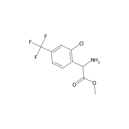 COC(=O)C(N)c1ccc(C(F)(F)F)cc1Cl